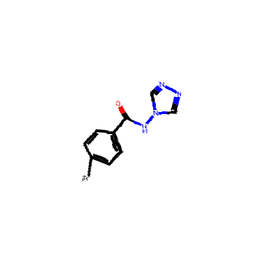 CC(C)c1ccc(C(=O)Nn2cnnc2)cc1